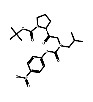 CC(C)CN(CC(=O)[C@@H]1CCCN1C(=O)OC(C)(C)C)C(=O)Oc1ccc([N+](=O)[O-])cc1